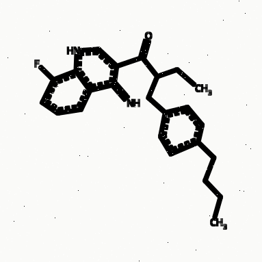 CCCCc1ccc(CC(CC)C(=O)c2c[nH]c3c(F)cccc3c2=N)cc1